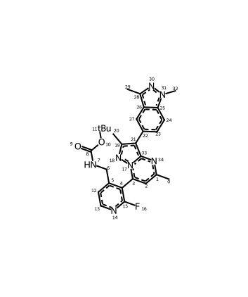 Cc1cc(-c2c(CNC(=O)OC(C)(C)C)ccnc2F)n2nc(C)c(-c3ccc4c(c3)c(C)nn4C)c2n1